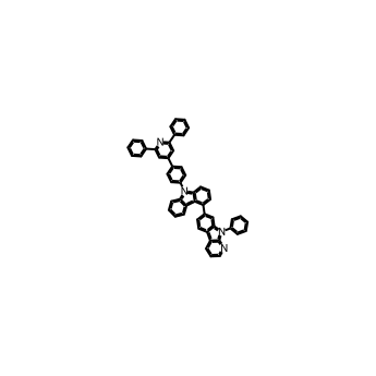 c1ccc(-c2cc(-c3ccc(-n4c5ccccc5c5c(-c6ccc7c8cccnc8n(-c8ccccc8)c7c6)cccc54)cc3)cc(-c3ccccc3)n2)cc1